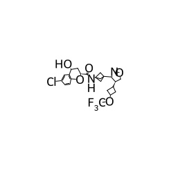 O=C(NC12CC(C3=NOC[C@H]3C3CC(OC(F)(F)F)C3)(C1)C2)[C@@H]1C[C@@H](O)c2cc(Cl)ccc2O1